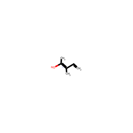 C=C/C(C)=C(\C)O